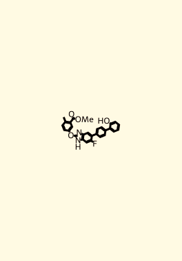 COC(=O)c1cc(Oc2nc3cc(-c4ccc(-c5ccccc5O)cc4)c(F)cc3[nH]2)ccc1C